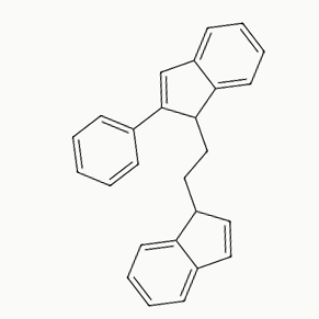 C1=CC(CCC2C(c3ccccc3)=Cc3ccccc32)c2ccccc21